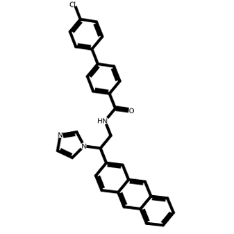 O=C(NCC(c1ccc2cc3ccccc3cc2c1)n1ccnc1)c1ccc(-c2ccc(Cl)cc2)cc1